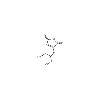 O=C1C=C(OC(CCl)CCl)C(=O)O1